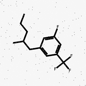 CCCC(C)Cc1cc(F)cc(C(F)(F)F)c1